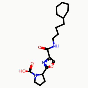 O=C(NCCCCC1CCCCC1)c1coc(C2CCCN2C(=O)O)n1